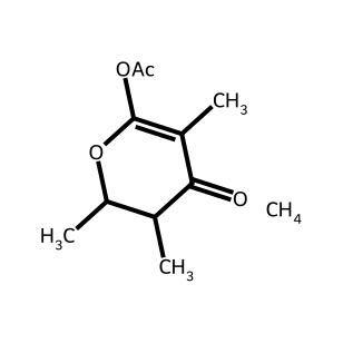 C.CC(=O)OC1=C(C)C(=O)C(C)C(C)O1